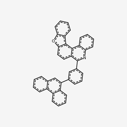 c1cc(-c2cc3ccccc3c3ccccc23)cc(-c2nc3ccccc3c3c2ccc2oc4ccccc4c23)c1